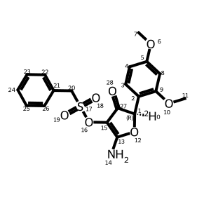 [2H][C@]1(c2ccc(OC)cc2OC)OC(N)=C(OS(=O)(=O)Cc2ccccc2)C1=O